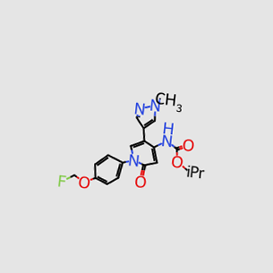 CC(C)OC(=O)Nc1cc(=O)n(-c2ccc(OCF)cc2)cc1-c1cnn(C)c1